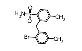 Cc1ccc(Br)c(Cc2cc(C)ccc2S(N)(=O)=O)c1